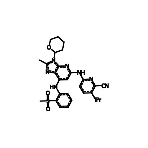 Cc1nc2c(Nc3ccccc3S(C)(=O)=O)cc(Nc3ccc(C(C)C)c(C#N)n3)nc2n1C1CCCCO1